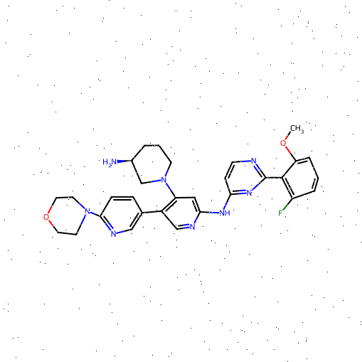 COc1cccc(F)c1-c1nccc(Nc2cc(N3CCC[C@H](N)C3)c(-c3ccc(N4CCOCC4)nc3)cn2)n1